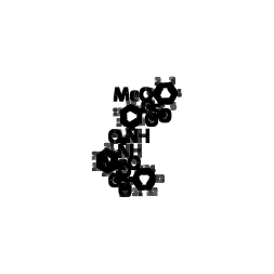 COc1ccccc1S(=O)(=O)Oc1cccc(NC(=O)Nc2ccccc2OS(=O)(=O)c2ccccc2OC)c1